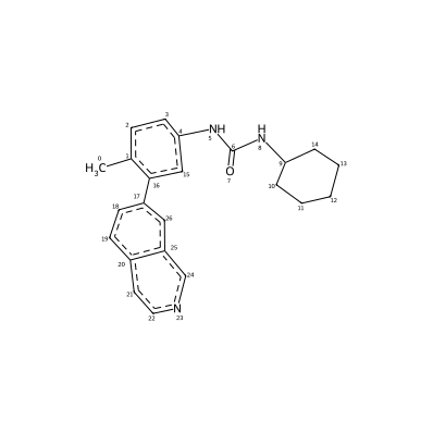 Cc1ccc(NC(=O)NC2CCCCC2)cc1-c1ccc2ccncc2c1